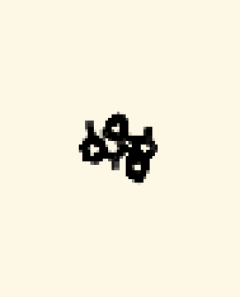 O=C(Nc1cccc(F)c1)C12C(=C3CCC1C3)ONC2c1cccnc1